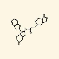 O=C(CCN1CCc2[nH]ncc2C1)Nc1sc2c(c1-c1nc3cnccc3s1)CCNC2